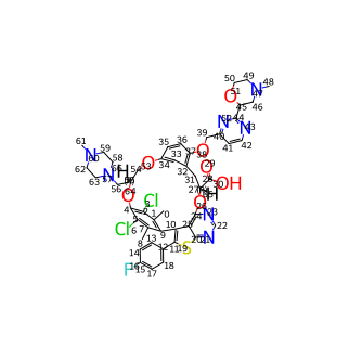 Cc1c(Cl)c2c(Cl)c(C)c1-c1c(-c3ccc(F)cc3)sc3ncnc(c13)O[C@@H](C(=O)O)Cc1cc(ccc1OCc1ccnc(C3CN(C)CCO3)n1)OC[C@@H](CN1CCN(C)CC1)O2